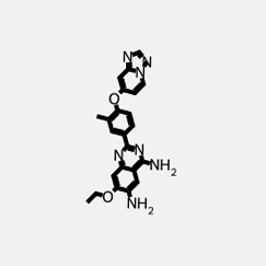 CCOc1cc2nc(-c3ccc(Oc4ccn5ncnc5c4)c(C)c3)nc(N)c2cc1N